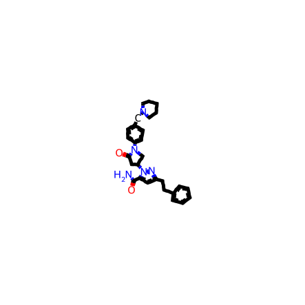 NC(=O)c1cc(CCc2ccccc2)nn1C1CC(=O)N(c2ccc(CN3CCCCC3)cc2)C1